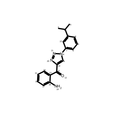 CC(C)c1cccc(-n2cc(C(=O)c3ccccc3N)nn2)c1